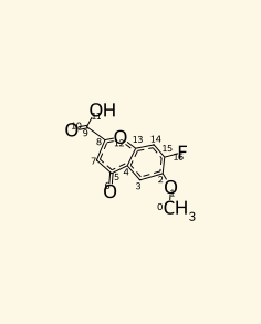 COc1cc2c(=O)cc(C(=O)O)oc2cc1F